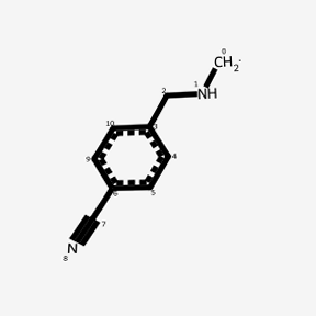 [CH2]NCc1ccc(C#N)cc1